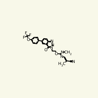 C=N/C(=N\C=C(/C)C#N)OCCn1nnc2ccc(-c3ccc(OC(F)(F)F)cc3)cc2c1=O